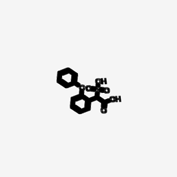 O=C(O)C(c1ccccc1Oc1ccccc1)S(=O)(=O)O